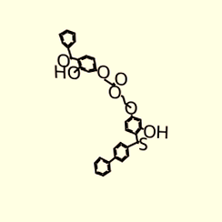 O=C(COc1ccc(C(=O)c2ccccc2)c(O)c1)OCCOc1ccc(C(=S)c2ccc(-c3ccccc3)cc2)c(O)c1